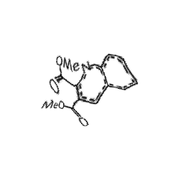 COC(=O)c1cc2ccccc2nc1C(=O)OC